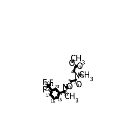 COC(=O)CN(C)C(=O)CON=C(C)c1cccc(C(F)(F)F)c1